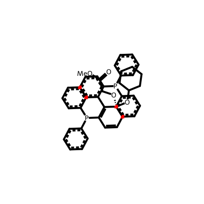 COC(=O)CO[C@]1(OC2CCCCC2)CC=CC(P(c2ccccc2)c2ccccc2)=C1c1ccccc1P(c1ccccc1)c1ccccc1